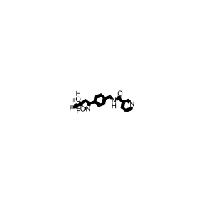 O=C(NCc1ccc(C2=NOC(O)(C(F)(F)F)C2)cc1)c1cccnc1